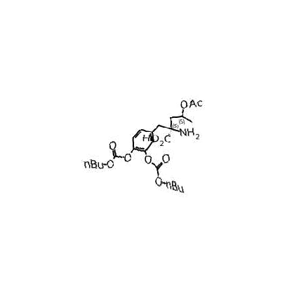 CCCCOC(=O)Oc1ccc(C[C@](N)(C[C@H](C)OC(C)=O)C(=O)O)cc1OC(=O)OCCCC